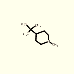 CN1CCC(C(C)(C)N)CC1